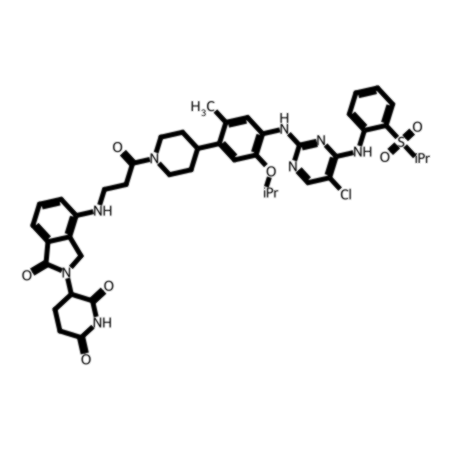 Cc1cc(Nc2ncc(Cl)c(Nc3ccccc3S(=O)(=O)C(C)C)n2)c(OC(C)C)cc1C1CCN(C(=O)CCNc2cccc3c2CN(C2CCC(=O)NC2=O)C3=O)CC1